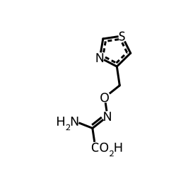 NC(=NOCc1cscn1)C(=O)O